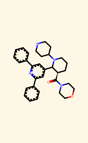 O=C([C@@H]1CCCN(C2CC[N]CC2)C1c1cc(-c2ccccc2)nc(-c2ccccc2)c1)N1CCOCC1